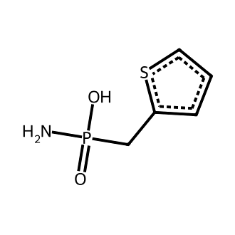 NP(=O)(O)Cc1cccs1